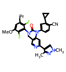 COc1cc(C(C)C)c(F)c(N2Cc3cnc(-c4cn(C)nc4C)cc3N(c3ccc(C#N)c(C4CC4)c3)C2=O)c1F